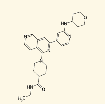 CCNC(=O)C1CCN(c2nc(-c3ccnc(NC4CCOCC4)c3)cc3cnccc23)CC1